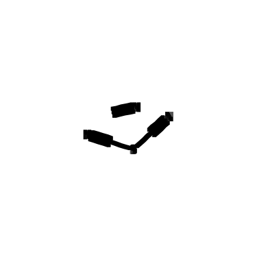 C#N.N#CSC#N